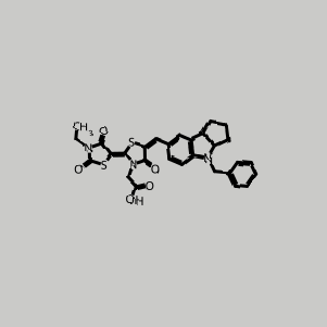 CCN1C(=O)S/C(=c2/s/c(=C/c3ccc4c(c3)C3CCCC3N4Cc3ccccc3)c(=O)n2CC(=O)O)C1=O